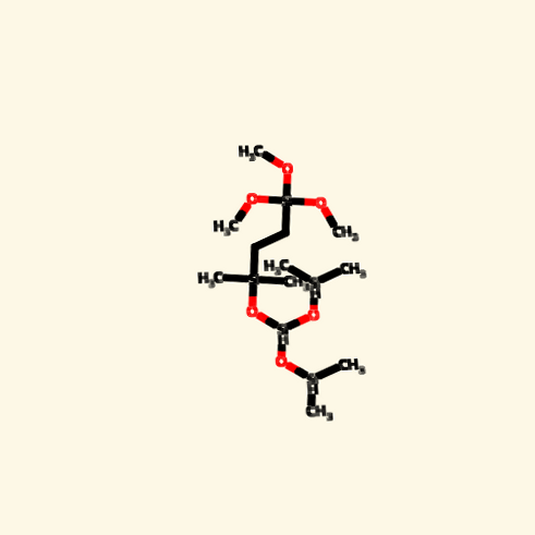 CO[Si](CC[Si](C)(C)O[SiH](O[SiH](C)C)O[SiH](C)C)(OC)OC